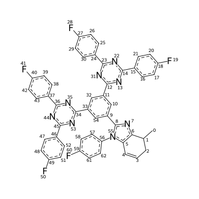 CC1CC=Cc2c1nc(-c1cc(-c3nc(-c4ccc(F)cc4)nc(-c4ccc(F)cc4)n3)cc(-c3nc(-c4ccc(F)cc4)nc(-c4ccc(F)cc4)n3)c1)n2-c1ccc(F)cc1